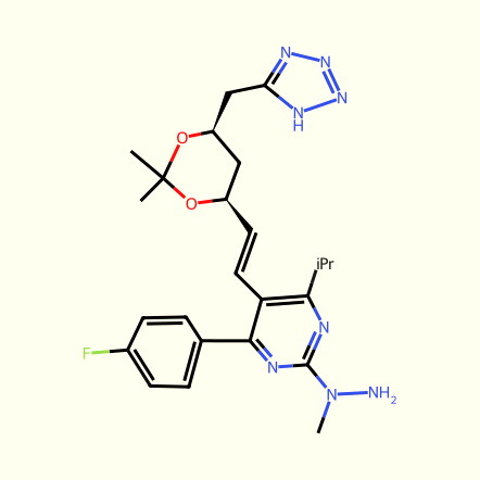 CC(C)c1nc(N(C)N)nc(-c2ccc(F)cc2)c1/C=C/[C@@H]1C[C@H](Cc2nnn[nH]2)OC(C)(C)O1